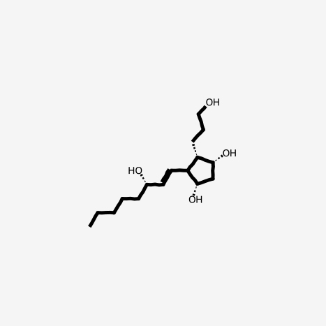 CCCCC[C@H](O)C=CC1[C@@H](O)C[C@@H](O)[C@H]1CCCO